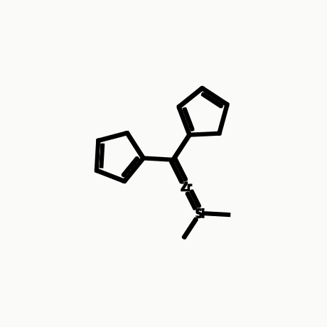 C[Si](C)=[Zr]=[C](C1=CC=CC1)C1=CC=CC1